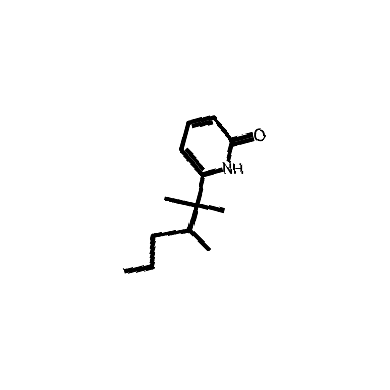 CCCC(C)C(C)(C)c1cccc(=O)[nH]1